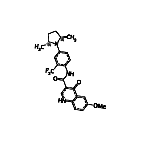 COc1ccc2[nH]cc(C(=O)Nc3ccc(N4[C@H](C)CC[C@H]4C)cc3C(F)(F)F)c(=O)c2c1